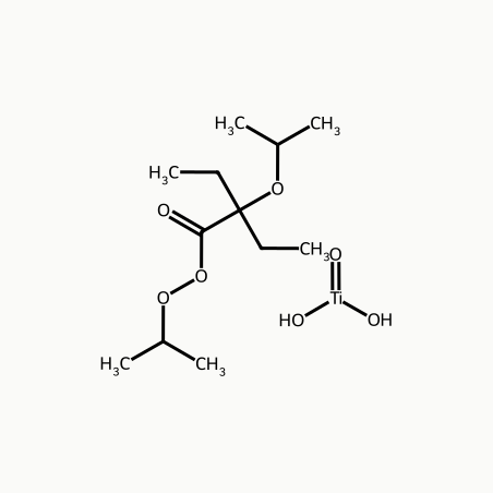 CCC(CC)(OC(C)C)C(=O)OOC(C)C.[O]=[Ti]([OH])[OH]